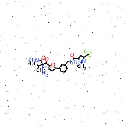 CC(C)[C@](N)(C(N)=O)C(=O)c1ccc(-c2cccc(CNC(=O)c3cc(C(F)(F)F)nn3C)c2)o1